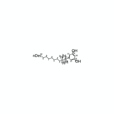 [2H]C([2H])(CCCCCCCCCCCCCCCCC)C([2H])([2H])c1cc(O)cc(O)c1